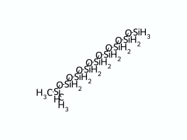 C[SiH](C)O[SiH2]O[SiH2]O[SiH2]O[SiH2]O[SiH2]O[SiH2]O[SiH2]O[SiH3]